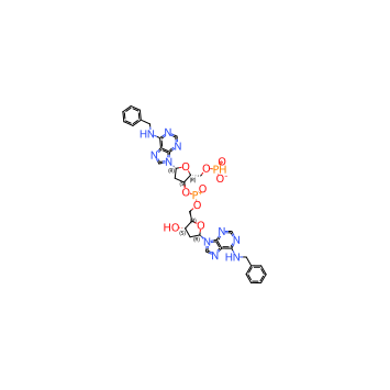 O=[P+](OC[C@H]1O[C@@H](n2cnc3c(NCc4ccccc4)ncnc32)C[C@@H]1O)O[C@H]1C[C@H](n2cnc3c(NCc4ccccc4)ncnc32)O[C@@H]1CO[PH](=O)[O-]